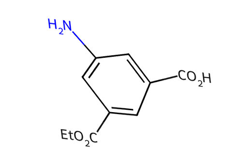 CCOC(=O)c1cc(N)cc(C(=O)O)c1